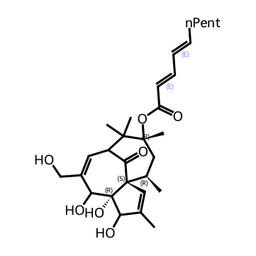 CCCCC/C=C/C=C/C(=O)O[C@]1(C)C[C@@H](C)[C@]23C=C(C)C(O)[C@@]2(O)C(O)C(CO)=CC(C3=O)C1(C)C